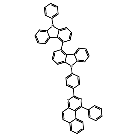 c1ccc(-c2nc(-c3ccc(-n4c5ccccc5c5c(-c6cccc7c6c6ccccc6n7-c6ccccc6)cccc54)cc3)nc3ccc4ccccc4c23)cc1